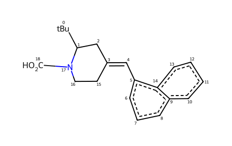 CC(C)(C)C1CC(=Cc2cccc3ccccc23)CCN1C(=O)O